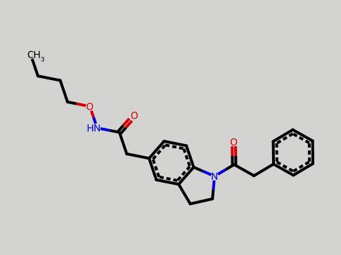 CCCCONC(=O)Cc1ccc2c(c1)CCN2C(=O)Cc1ccccc1